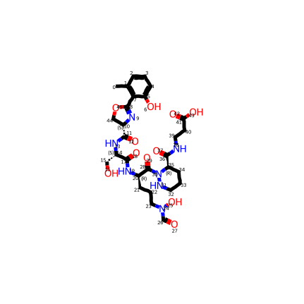 Cc1cccc(O)c1C1=N[C@H](C(=O)N[C@@H](CO)C(=O)N[C@H](CCCN(O)C=O)C(=O)N2NCCC[C@@H]2C(=O)NCCC(=O)O)CO1